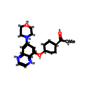 COC(=O)[C@H]1CC[C@@H](Oc2cc(N3CCOCC3)cc3nccnc23)CC1